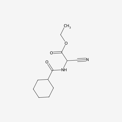 CCOC(=O)C(C#N)NC(=O)C1CCCCC1